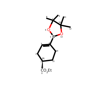 CCOC(=O)[C@H]1CC=C(B2OC(C)(C)C(C)(C)O2)CC1